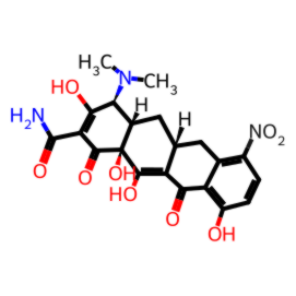 CN(C)[C@@H]1C(O)=C(C(N)=O)C(=O)[C@@]2(O)C(O)=C3C(=O)c4c(O)ccc([N+](=O)[O-])c4C[C@H]3C[C@@H]12